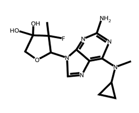 CN(c1nc(N)nc2c1ncn2C1OCC(O)(O)C1(C)F)C1CC1